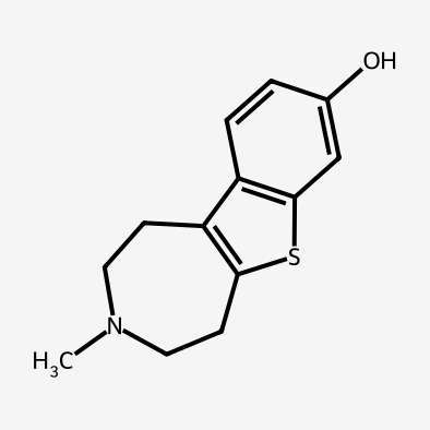 CN1CCc2sc3cc(O)ccc3c2CC1